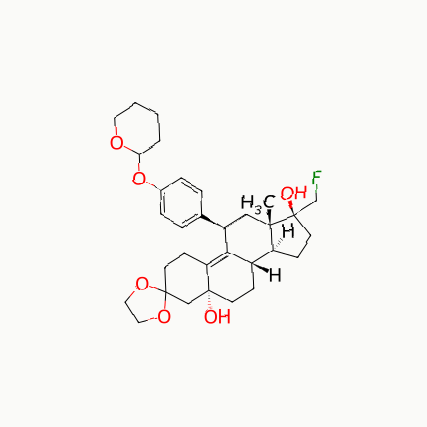 C[C@]12C[C@H](c3ccc(OC4CCCCO4)cc3)C3=C4CCC5(C[C@]4(O)CC[C@H]3[C@@H]1CC[C@@]2(O)CF)OCCO5